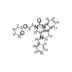 O=C1N(CCOC2CCCCO2)CC2c3c(c4ccccc4n31)CCN2Cc1ccccc1